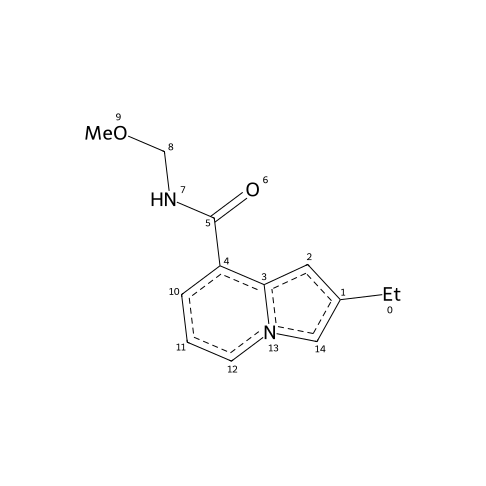 CCc1cc2c(C(=O)NCOC)cccn2c1